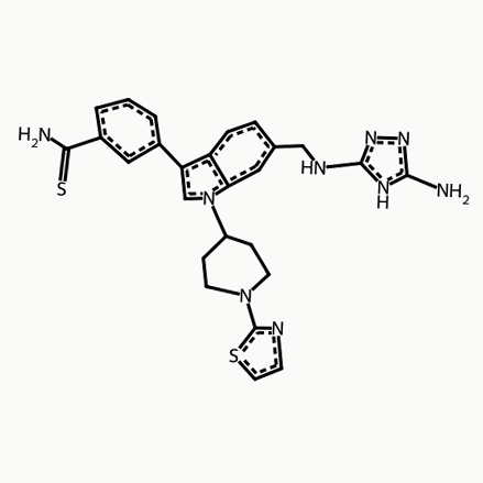 NC(=S)c1cccc(-c2cn(C3CCN(c4nccs4)CC3)c3cc(CNc4nnc(N)[nH]4)ccc23)c1